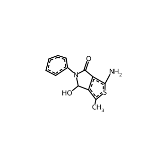 Cc1sc(N)c2c1C(O)N(c1ccccc1)C2=O